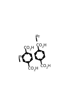 CC(C)C.CC(C)C.O=C(O)c1ccc(C(=O)O)cc1.O=C(O)c1ccc(C(=O)O)cc1